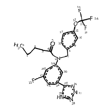 CCCCC(=O)N(Cc1ccc(OC(F)(F)F)cc1)c1cc(F)cc(-c2nnn[nH]2)c1